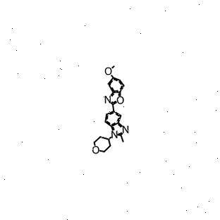 COc1ccc2oc(-c3ccc4c(c3)nc(C)n4C3CCOCC3)nc2c1